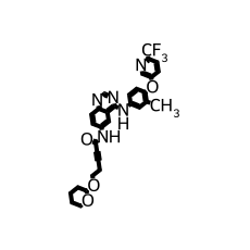 Cc1cc(Nc2ncnc3ccc(NC(=O)C#CCCOC4CCCCO4)cc23)ccc1Oc1ccc(C(F)(F)F)nc1